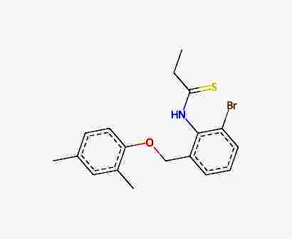 CCC(=S)Nc1c(Br)cccc1COc1ccc(C)cc1C